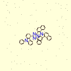 C1=Cc2c(c3ccccc3n2-c2ccccc2)C(c2nc(-c3ccccc3)nc(-c3ccc4ccccc4c3-n3c4ccccc4c4c5ccccc5ccc43)n2)C1